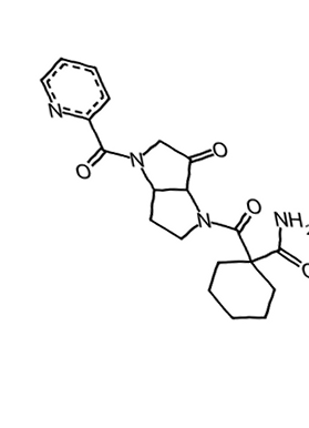 NC(=O)C1(C(=O)N2CCC3C2C(=O)CN3C(=O)c2ccccn2)CCCCC1